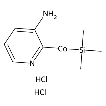 C[Si](C)(C)[Co][c]1ncccc1N.Cl.Cl